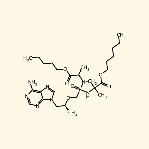 CCCCCCOC(=O)C(C)(C)NP(=O)(CO[C@@H](C)Cn1cnc2c(N)ncnc21)N[C@H](C)C(=O)OCCCCC